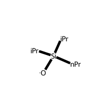 CCC[Si]([O])(C(C)C)C(C)C